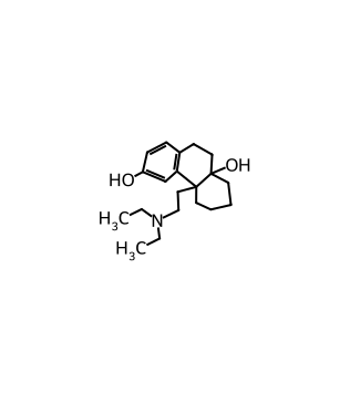 CCN(CC)CCC12CCCCC1(O)CCc1ccc(O)cc12